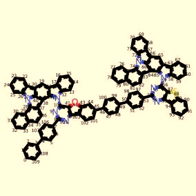 c1ccc(-c2ccc(-c3nc(-n4c5ccccc5c5cc6c7ccccc7n7c8c9ccccc9ccc8c(c54)c67)c4oc5cc(-c6ccc(-c7ccc(-c8nc(-n9c%10ccccc%10c%10cc%11c%12ccccc%12n%12c%13c%14ccccc%14ccc%13c(c%109)c%11%12)c9sc%10ccccc%10c9n8)cc7)cc6)ccc5c4n3)cc2)cc1